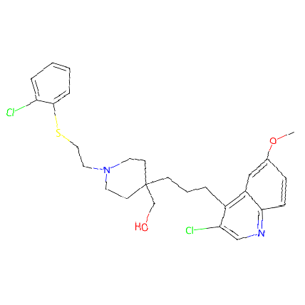 COc1ccc2ncc(Cl)c(CCCC3(CO)CCN(CCSc4ccccc4Cl)CC3)c2c1